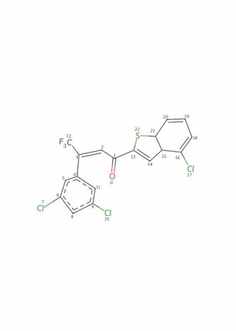 O=C(/C=C(\c1cc(Cl)cc(Cl)c1)C(F)(F)F)C1=CC2C(Cl)=CC=CC2S1